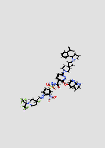 CC(C)c1ccccc1C1CCCN1C1CC2(CCN(c3ccc(C(=O)NS(=O)(=O)c4ccc(NCC5(F)CCN(C(C(F)(F)F)C(F)(F)F)CC5)c([N+](=O)[O-])c4)c(Oc4cnc5[nH]ccc5c4)n3)CC2)C1